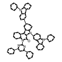 O=c1c2c(c3ccccc3n1-c1nc(-c3ccccc3)cc(-c3ccccc3)n1)c1cc(-c3ccc4c(c3)c3ccccc3n4-c3ccccc3)ccc1n2-c1ccc2c(c1)c1ccccc1n2-c1ccccc1